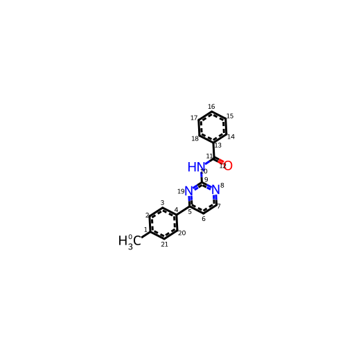 Cc1ccc(-c2ccnc(NC(=O)c3ccccc3)n2)cc1